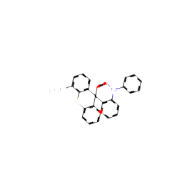 Cc1cccc2c1Sc1ccccc1C21c2ccccc2N(c2ccccc2)c2ccccc21